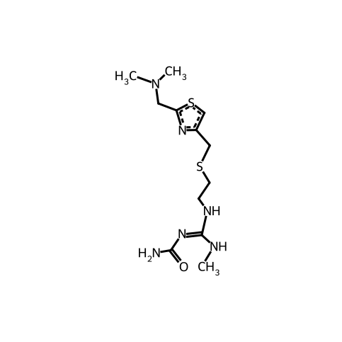 CNC(=NC(N)=O)NCCSCc1csc(CN(C)C)n1